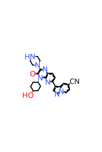 N#Cc1ccn2ncc(-c3ccc4nc(N5CCNCC5)c(=O)n([C@H]5CC[C@H](O)CC5)c4n3)c2c1